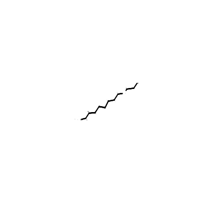 CCCOCCCCCCCCO